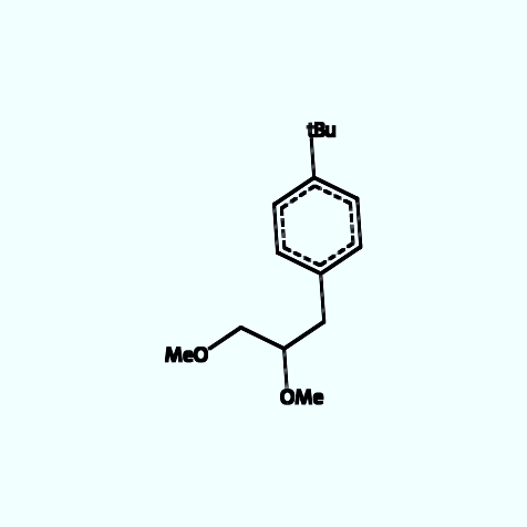 COCC(Cc1ccc(C(C)(C)C)cc1)OC